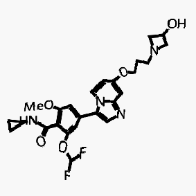 COc1cc(-c2cnc3cc(OCCCN4CC(O)C4)ccn23)cc(OC(F)F)c1C(=O)NC1CC1